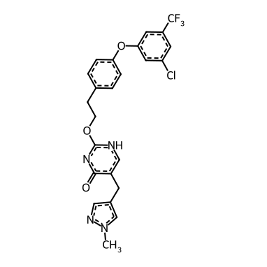 Cn1cc(Cc2c[nH]c(OCCc3ccc(Oc4cc(Cl)cc(C(F)(F)F)c4)cc3)nc2=O)cn1